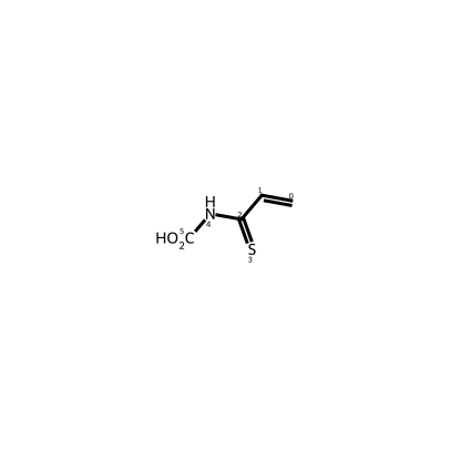 C=CC(=S)NC(=O)O